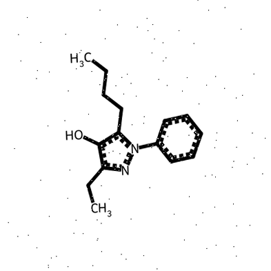 CCCCc1c(O)c(CC)nn1-c1ccccc1